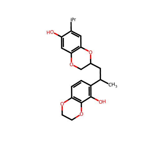 CC(C)c1cc2c(cc1O)OCC(CC(C)c1ccc3c(c1O)OCCO3)O2